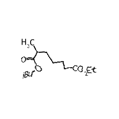 CCOC(=O)CCCCC(C)C(=O)OC(C)CC